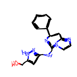 OCc1cc(Nc2nc(-c3ccccc3)cc3nccn23)n[nH]1